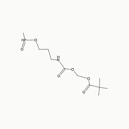 C[PH](=O)OCCCNC(=O)OCOC(=O)C(C)(C)C